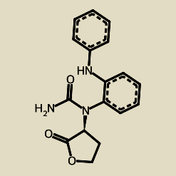 NC(=O)N(c1ccccc1Nc1ccccc1)[C@H]1CCOC1=O